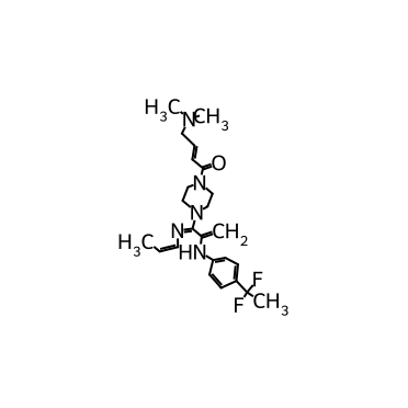 C=C(Nc1ccc(C(C)(F)F)cc1)/C(=N\C=C/C)N1CCN(C(=O)/C=C/CN(C)C)CC1